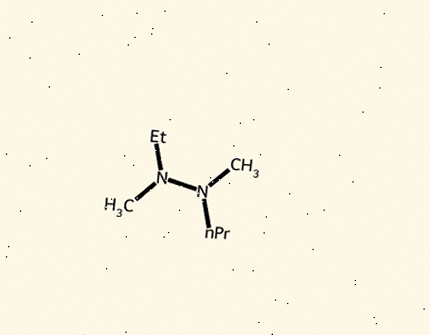 CCCN(C)N(C)CC